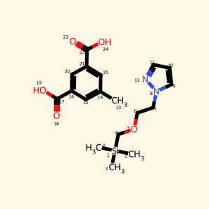 C[Si](C)(C)COCCn1cccn1.Cc1cc(C(=O)O)cc(C(=O)O)c1